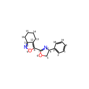 c1ccc(C2COC(c3onc4c3CCCC4)=N2)cc1